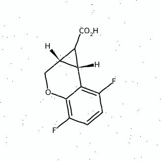 O=C(O)C1[C@H]2COc3c(F)ccc(F)c3[C@@H]12